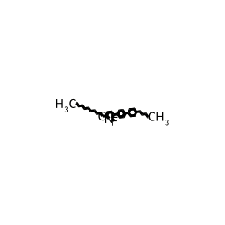 CCCCCCCCCCOc1ccc(-c2ccc(C3CCC(CCCCC)CC3)cc2)c(F)n1